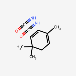 CC1=CCC(C)(C)C=C1.N=C=O.N=C=O